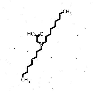 CCCCCCCCCN(CCCCCCCCC)CC(=O)O